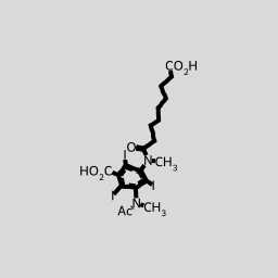 CC(=O)N(C)c1c(I)c(C(=O)O)c(I)c(N(C)C(=O)CCCCCCCC(=O)O)c1I